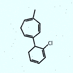 CC1=CCC=C(C2CC=CC=C2Cl)C=C1